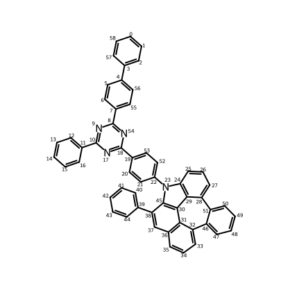 c1ccc(-c2ccc(-c3nc(-c4ccccc4)nc(-c4ccc(-n5c6cccc7c6c6c8c(cccc8cc(-c8ccccc8)c65)-c5ccccc5-7)cc4)n3)cc2)cc1